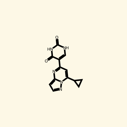 O=c1[nH]cc(-c2cc(C3CC3)n3nccc3n2)c(=O)[nH]1